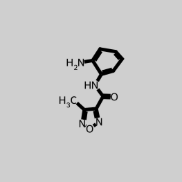 Cc1nonc1C(=O)Nc1ccccc1N